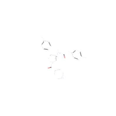 O=C(N[C@H]1CN(C(=O)C2CCNCC2)C[C@@H]1c1ccc(Cl)cc1)Oc1ccc(F)cc1